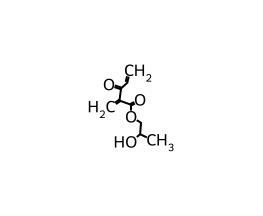 C=CC(=O)C(=C)C(=O)OCC(C)O